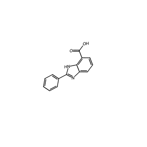 O=C(O)c1cccc2nc(-c3ccccc3)[nH]c12